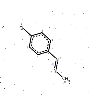 C/N=N/c1ccc(Cl)cc1